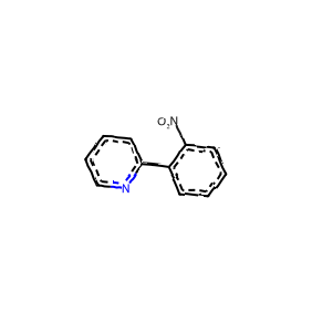 O=[N+]([O-])c1[c]cccc1-c1ccccn1